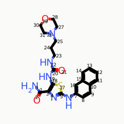 NC(=O)c1nc(Nc2ccc3ccccc3c2)sc1NC(=O)NCCCN1CCOCC1